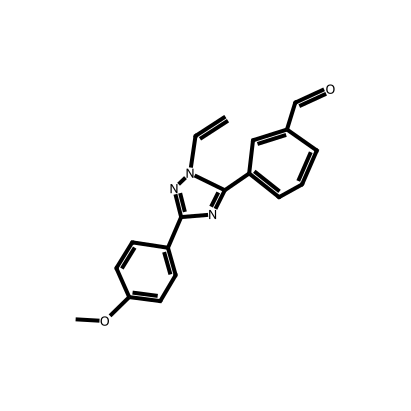 C=Cn1nc(-c2ccc(OC)cc2)nc1-c1cccc(C=O)c1